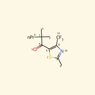 CCCC(C)(C)C(=O)c1sc(C)nc1C(F)(F)F